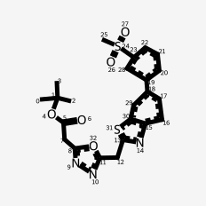 CC(C)(C)OC(=O)Cc1nnc(Cc2nc3ccc(-c4cccc(S(C)(=O)=O)c4)cc3s2)o1